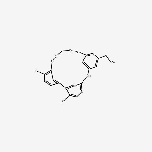 CSCc1cc2cc(c1)OCCCOc1cc(ccc1F)-c1nc(ncc1F)N2